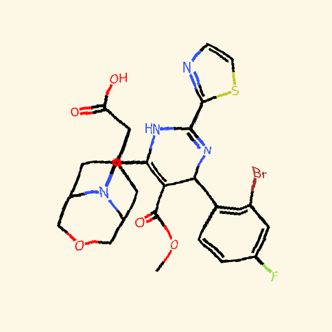 COC(=O)C1=C(CN2C3COCC2CC(CC(=O)O)C3)NC(c2nccs2)=NC1c1ccc(F)cc1Br